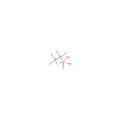 CS(=O)(O)(O)C(F)(F)C(F)(F)F